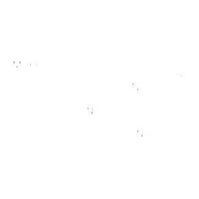 COCc1ccn2c(Br)cnc2n1